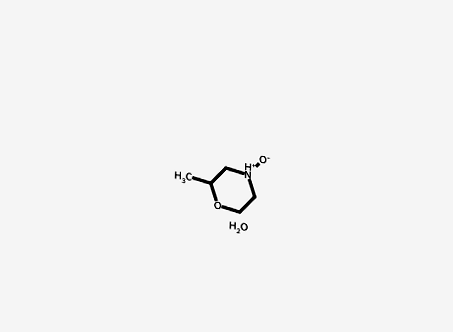 CC1C[NH+]([O-])CCO1.O